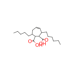 CCCCCCC1C=CCC(CCCCC)C(C(=O)O)C1C(=O)O